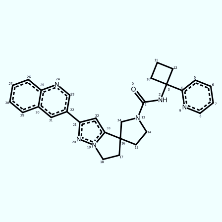 O=C(NC1(c2ccccn2)CCC1)N1CCC2(CCn3nc(-c4cnc5ccccc5c4)cc32)C1